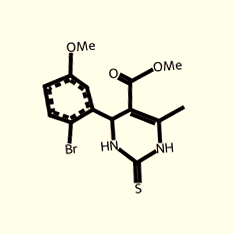 COC(=O)C1=C(C)NC(=S)NC1c1cc(OC)ccc1Br